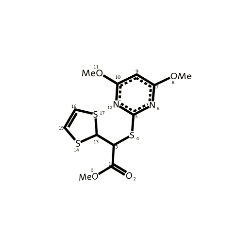 COC(=O)C(Sc1nc(OC)cc(OC)n1)C1SC=CS1